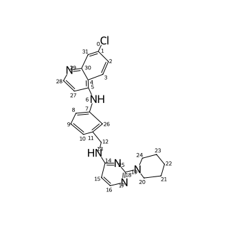 Clc1ccc2c(Nc3cccc(CNc4ccnc(N5CCCCC5)n4)c3)ccnc2c1